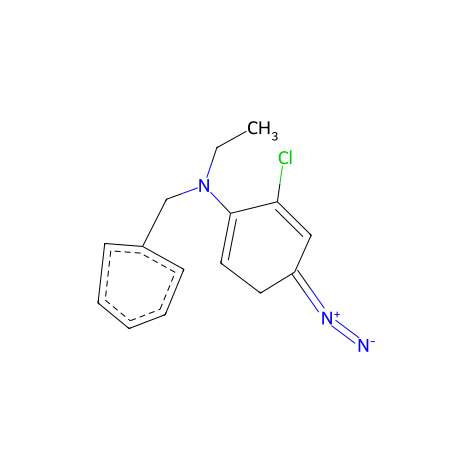 CCN(Cc1ccccc1)C1=CCC(=[N+]=[N-])C=C1Cl